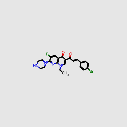 CCn1cc(C(=O)C=Cc2ccc(Br)cc2)c(=O)c2cc(F)c(N3CCNCC3)nc21